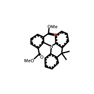 COC(=O)c1cccc(C(=O)OC)c1N1c2ccccc2C(C)(C)c2ccccc21